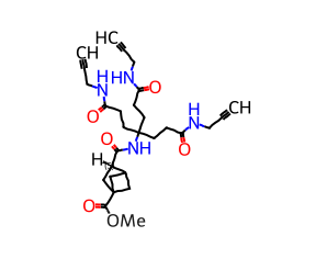 C#CCNC(=O)CCC(CCC(=O)NCC#C)(CCC(=O)NCC#C)NC(=O)[C@H]1CC2(C(=O)OC)CC1C2